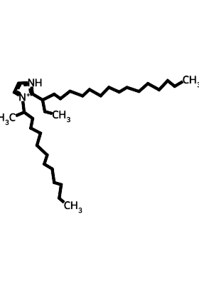 CCCCCCCCCCCCCCCC(CC)c1[nH]cc[n+]1C(C)CCCCCCCCCCC